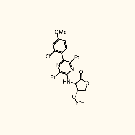 CCCO[C@H]1COC(=O)[C@H]1Nc1nc(CC)c(-c2ccc(OC)cc2Cl)nc1CC